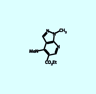 CCOC(=O)c1cnc2c(cnn2C)c1NC